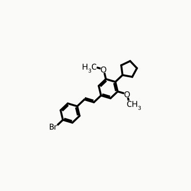 COc1cc(/C=C/c2ccc(Br)cc2)cc(OC)c1C1CCCC1